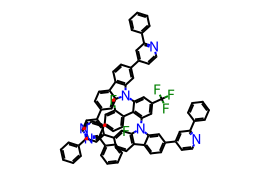 Fc1cccc(F)c1-c1c(-n2c3cc(-c4ccnc(-c5ccccc5)c4)ccc3c3ccc(-c4ccnc(-c5ccccc5)c4)cc32)cc(C(F)(F)F)cc1-n1c2cc(-c3ccnc(-c4ccccc4)c3)ccc2c2ccc(-c3ccnc(-c4ccccc4)c3)cc21